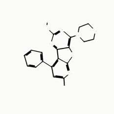 CCOc1nc(N2CCNCC2)c2sc3nc(C)cc(-c4ccccc4)c3c2n1.Cl